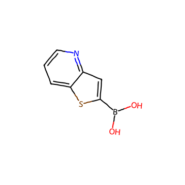 OB(O)c1cc2ncccc2s1